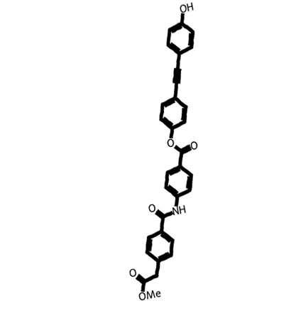 COC(=O)Cc1ccc(C(=O)Nc2ccc(C(=O)Oc3ccc(C#Cc4ccc(O)cc4)cc3)cc2)cc1